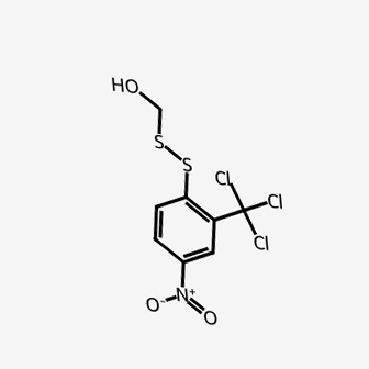 O=[N+]([O-])c1ccc(SSCO)c(C(Cl)(Cl)Cl)c1